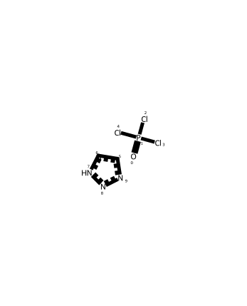 O=P(Cl)(Cl)Cl.c1c[nH]nn1